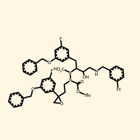 CCc1cccc(CNCC(O)C(Cc2cc(F)cc(OCc3ccccc3)c2)N(C(=O)O)N(CCC2(c3cc(F)cc(OCc4ccccc4)c3)CO2)C(=O)OC(C)(C)C)c1